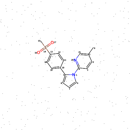 Cc1ccc(-n2cccc2-c2ccc(S(C)(=O)=O)cc2)nc1